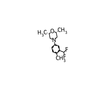 Cc1ccc(N2C[C@@H](C)O[C@@H](C)C2)cc1C(F)F